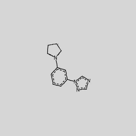 [CH]1CCN(c2cccc(-n3cncn3)c2)C1